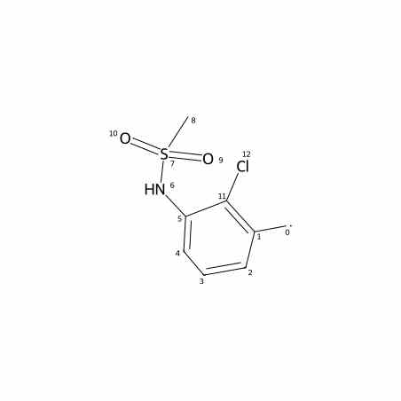 [CH2]c1cccc(NS(C)(=O)=O)c1Cl